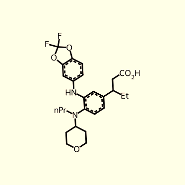 CCCN(c1ccc(C(CC)CC(=O)O)cc1Nc1ccc2c(c1)OC(F)(F)O2)C1CCOCC1